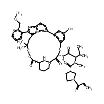 C=CC(=O)N1CC[C@H](C(=O)N(C)C(C(=O)N[C@H]2Cc3cc(O)cc(c3)-c3ccc4nc(-c5cccnc5COC)c(n4c3)CC(C)(C)COC(=O)[C@@H]3CCCN(N3)C2=O)C(C)C)C1